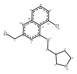 ClCc1nc(OCC2CCOC2)c2c(Cl)cccc2n1